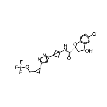 O=C(NC12CC(n3cc([C@@H]4C[C@H]4COC(F)(F)F)nn3)(C1)C2)[C@H]1C[C@@H](O)c2cc(Cl)ccc2O1